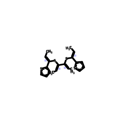 C/C=C(S/C(=C\C)c1cccs1)/C(=C/C)S/C(=C\C)c1cccs1